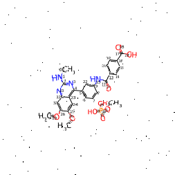 CNc1nc(-c2cccc(NC(=O)c3ccc(C(=O)O)cc3)c2)c2cc(OC)c(OC)cc2n1.COP(=O)(O)O